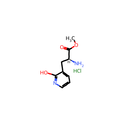 COC(=O)[C@@H](N)Cc1cccnc1O.Cl